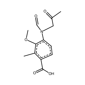 COc1c(N(C=O)CC(C)=O)ccc(C(=O)O)c1C